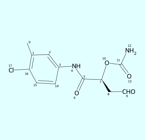 Cc1cc(NC(=O)[C@H](CC=O)OC(N)=O)ccc1Cl